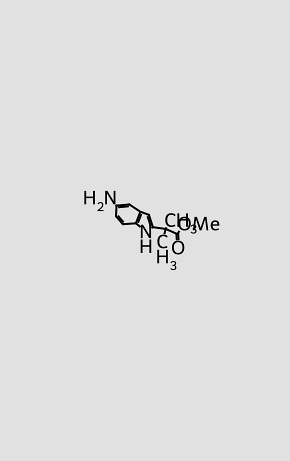 COC(=O)C(C)(C)c1cc2cc(N)ccc2[nH]1